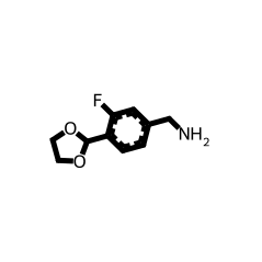 NCc1ccc(C2OCCO2)c(F)c1